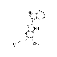 CCCc1cc2nc(-c3n[nH]c4ccccc34)[nH]c2cc1C